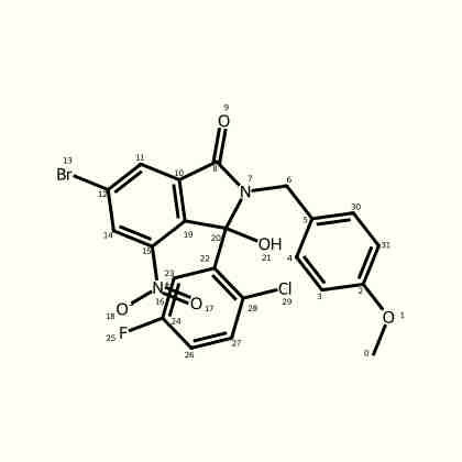 COc1ccc(CN2C(=O)c3cc(Br)cc([N+](=O)[O-])c3C2(O)c2cc(F)ccc2Cl)cc1